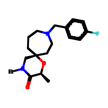 CCN1C[C@]2(CCCN(Cc3ccc(F)cc3)CC2)O[C@@H](C)C1=O